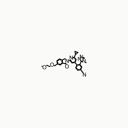 COCCOCc1ccc2c(c1)C(=O)N(c1cc(-c3ccc(C#N)cc3-c3nncn3C)cc(C3CC3)n1)C2